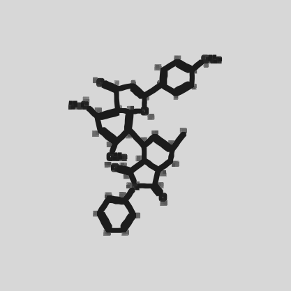 COc1ccc(-c2cc(=O)c3c(OC)cc(OC)c(C4C=C(C)CC5C(=O)N(c6ccccc6)C(=O)C54)c3o2)cc1